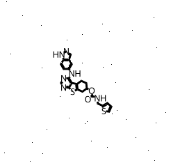 O=C(NCc1cccs1)OC1CCc2c(sc3ncnc(Nc4ccc5[nH]ncc5c4)c23)C1